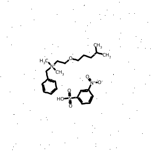 CC(C)CCCOCC[N+](C)(C)Cc1ccccc1.O=[N+]([O-])c1cccc(S(=O)(=O)O)c1